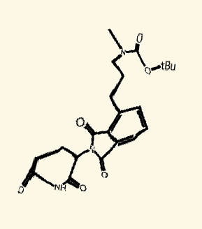 CN(CCCc1cccc2c1C(=O)N(C1CCC(=O)NC1=O)C2=O)C(=O)OC(C)(C)C